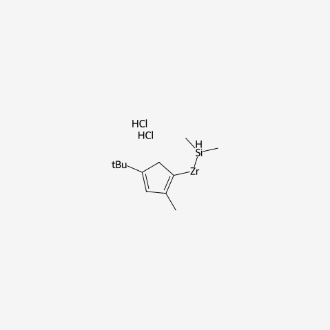 CC1=[C]([Zr][SiH](C)C)CC(C(C)(C)C)=C1.Cl.Cl